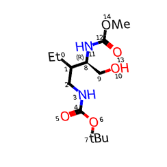 CCC(CNC(=O)OC(C)(C)C)[C@H](CO)NC(=O)OC